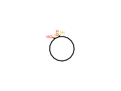 OC1(S)CCCCCCCCCCCCCCCC1(O)S